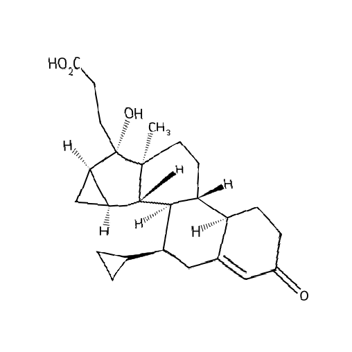 C[C@]12CC[C@H]3[C@H]([C@@H]1[C@H]1C[C@H]1[C@@]2(O)CCC(=O)O)[C@H](C1CC1)CC1=CC(=O)CC[C@@H]13